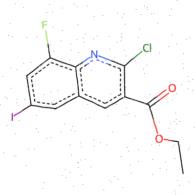 CCOC(=O)c1cc2cc(I)cc(F)c2nc1Cl